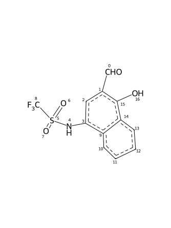 O=Cc1cc(NS(=O)(=O)C(F)(F)F)c2ccccc2c1O